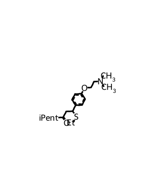 CCCC(C)C(=O)CC(SCC)c1ccc(OCCN(C)C)cc1